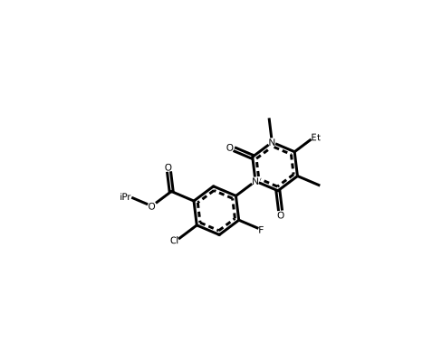 CCc1c(C)c(=O)n(-c2cc(C(=O)OC(C)C)c(Cl)cc2F)c(=O)n1C